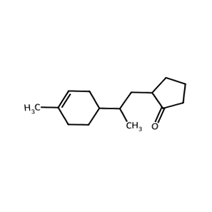 CC1=CCC(C(C)CC2CCCC2=O)CC1